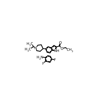 CCOC(=O)c1cc2cc(C3CCN(C(C)C)CC3)ccc2[nH]1.Nc1ccc(F)cc1F